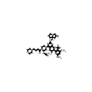 Cc1cc(N)nc(C2Cc3nc(OC[C@@]45CCCN4C[C@H](F)C5)nc(N4CCN(C(=O)/C=C/CN5CCOCC5)[C@@H](CC#N)C4)c3CC2C)c1C(F)(F)F